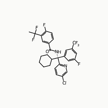 CC(F)(F)c1cc(C(=O)N[C@](c2cc(F)cc(C(F)(F)F)c2)(c2ccc(Cl)cn2)C2CCCCC2)ccc1F